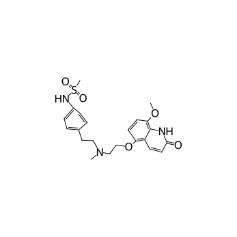 COc1ccc(OCCN(C)CCc2ccc(NS(C)(=O)=O)cc2)c2ccc(=O)[nH]c12